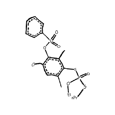 CCCSP(=O)(OCC)Sc1c(C)cc(Cl)c(OS(=O)(=O)c2ccccc2)c1C